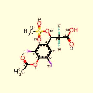 CC(=O)Oc1c(I)cc(C(OS(C)(=O)=O)C(F)(F)C(=O)O)cc1I